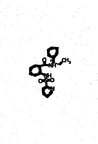 CC[C@H](NC(=O)c1ccccc1NS(=O)(=O)c1ccccn1)c1ccccc1